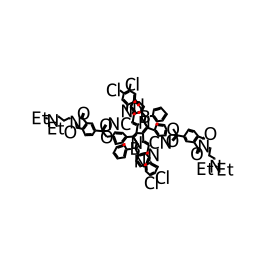 CCN(CC)CCCN1C(=O)c2ccc(C(=O)Oc3ccc(-c4c5/c(=C(\C#N)c6cnc7cc(Cl)c(Cl)cc7n6)n(B(c6ccccc6)c6ccccc6)c(-c6ccc(OC(=O)c7ccc8c(c7)C(=O)N(CCCN(CC)CC)C8=O)cc6)c5/c(=C(\C#N)c5cnc6cc(Cl)c(Cl)cc6n5)n4B(c4ccccc4)c4ccccc4)cc3)cc2C1=O